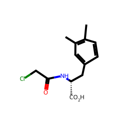 Cc1ccc(C[C@@H](NC(=O)CCl)C(=O)O)cc1C